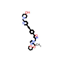 C[C@H](OC1CCCCO1)c1nccn1Cc1cc(-c2ccc(C#Cc3ccc(CN4CCC(O)CC4)nc3)cc2)on1